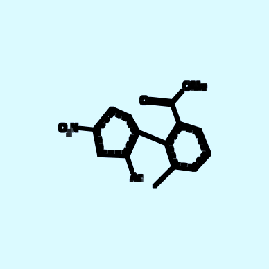 COC(=O)c1cccc(C)c1-c1ccc([N+](=O)[O-])cc1C(C)=O